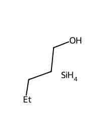 CCCCCO.[SiH4]